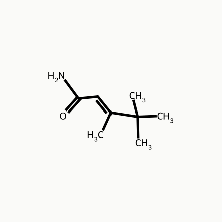 C/C(=C\C(N)=O)C(C)(C)C